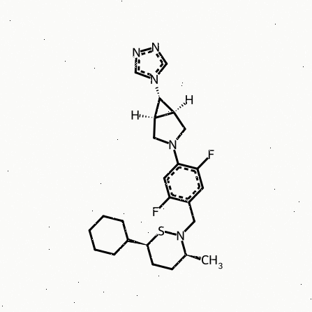 C[C@H]1CC[C@@H](C2CCCCC2)SN1Cc1cc(F)c(N2C[C@@H]3[C@H](C2)[C@H]3n2cnnc2)cc1F